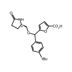 CC(C)(C)c1ccc(C(OC[C@H]2CCC(=O)N2)c2ccc(C(=O)O)o2)cc1